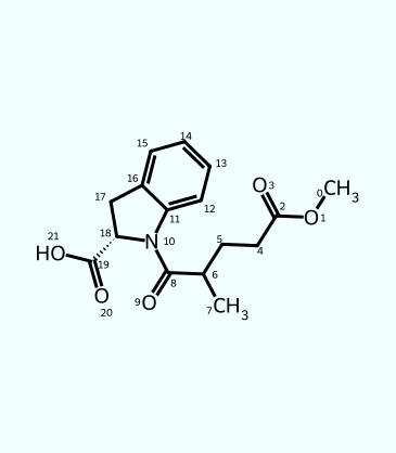 COC(=O)CCC(C)C(=O)N1c2ccccc2C[C@H]1C(=O)O